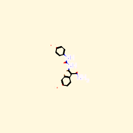 CCOc1ccc(NC(=O)Nc2sc3cc(OCC)ccc3c2C(N)=O)cc1